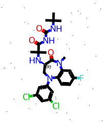 CN1C(=O)[C@H](NC(C)(C)C(=O)NC(=O)NC(C)(C)C)CN(c2cc(Cl)cc(Cl)c2)c2ccc(F)cc21